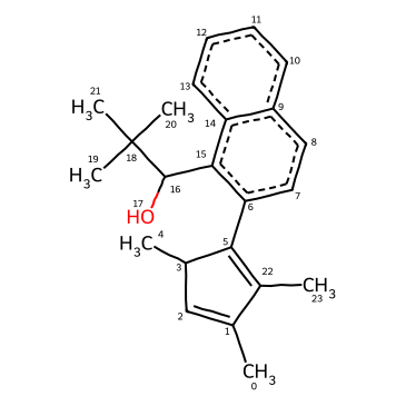 CC1=CC(C)C(c2ccc3ccccc3c2C(O)C(C)(C)C)=C1C